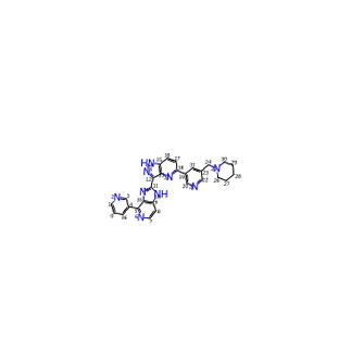 c1cncc(-c2nccc3[nH]c(-c4n[nH]c5ccc(-c6cncc(CN7CCCCC7)c6)nc45)nc23)c1